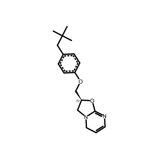 CC(C)(C)Cc1ccc(OC[C@@H]2CN3CC=CN=C3O2)cc1